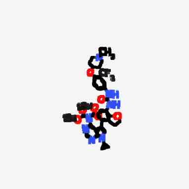 CN1CCC(Oc2ccc(NC(=O)Nc3ccc(-c4cn(C5CC5)c5ncnc(N(C(=O)OC(C)(C)C)C(=O)OC(C)(C)C)c45)c4c3OCC4)cc2C(F)(F)F)CC1